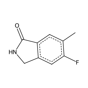 Cc1cc2c(cc1F)CNC2=O